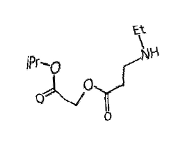 CCNCCC(=O)OCC(=O)OC(C)C